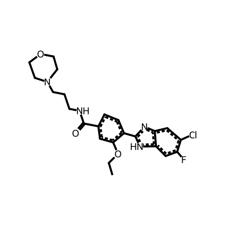 CCOc1cc(C(=O)NCCCN2CCOCC2)ccc1-c1nc2cc(Cl)c(F)cc2[nH]1